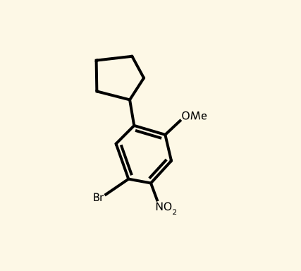 COc1cc([N+](=O)[O-])c(Br)cc1C1CCCC1